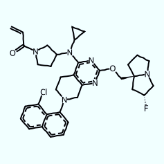 C=CC(=O)N1CCC(N(c2nc(OC[C@@]34CCCN3C[C@H](F)C4)nc3c2CCN(c2cccc4cccc(Cl)c24)C3)C2CC2)C1